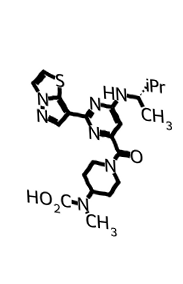 CC(C)[C@H](C)Nc1cc(C(=O)N2CCC(N(C)C(=O)O)CC2)nc(-c2cnn3ccsc23)n1